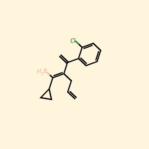 B/C(=C(/CC=C)C(=C)c1ccccc1Cl)C1CC1